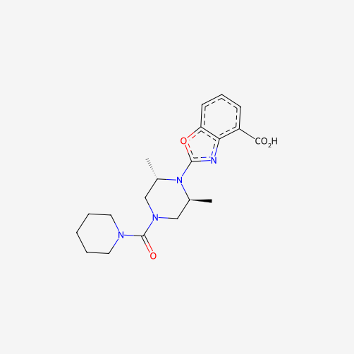 C[C@H]1CN(C(=O)N2CCCCC2)C[C@H](C)N1c1nc2c(C(=O)O)cccc2o1